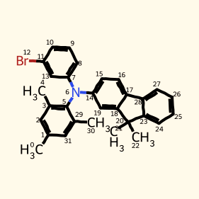 Cc1cc(C)c(N(c2cccc(Br)c2)c2ccc3c(c2)C(C)(C)c2ccccc2-3)c(C)c1